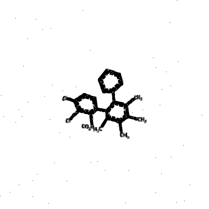 Cc1c(C)c(C)c(-c2ccc(Cl)c(Cl)c2C(=O)O)c(-c2ccccc2)c1C